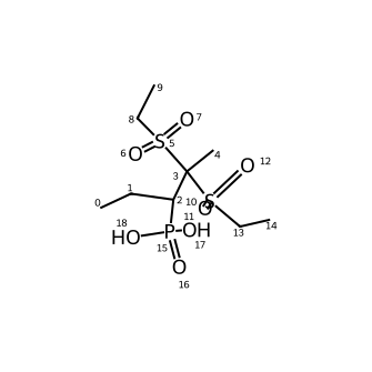 CCC(C(C)(S(=O)(=O)CC)S(=O)(=O)CC)P(=O)(O)O